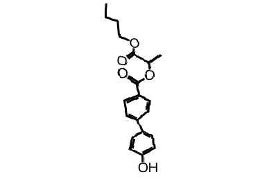 CCCCOC(=O)C(C)OC(=O)c1ccc(-c2ccc(O)cc2)cc1